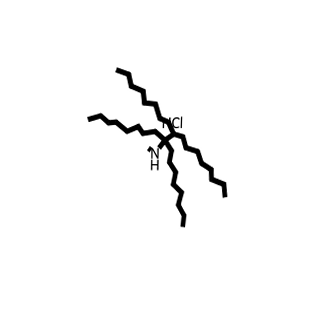 CCCCCCCCC(CCCCCCCC)C(CCCCCCCC)(CCCCCCCC)NC.Cl